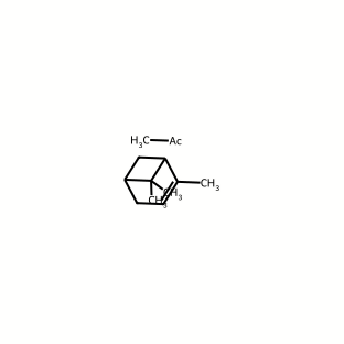 CC(C)=O.CC1=CCC2CC1C2(C)C